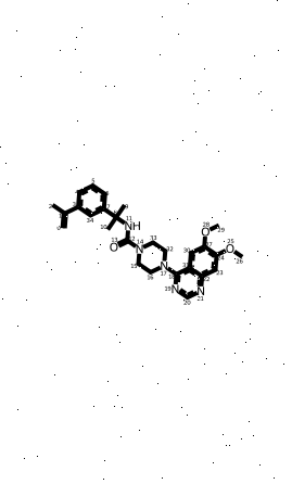 C=C(C)c1cccc(C(C)(C)NC(=O)N2CCN(c3ncnc4cc(OC)c(OC)cc34)CC2)c1